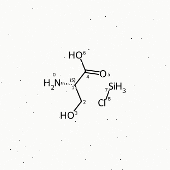 N[C@@H](CO)C(=O)O.[SiH3]Cl